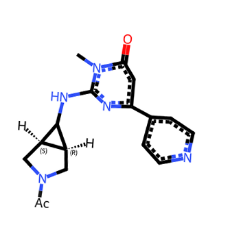 CC(=O)N1C[C@@H]2C(Nc3nc(-c4ccncc4)cc(=O)n3C)[C@@H]2C1